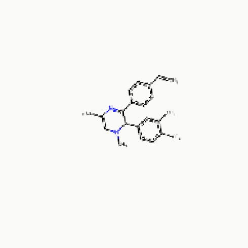 C=Cc1ccc(C2=NC(CCCC)=CN(C)C2c2ccc(C(F)(F)F)c(C)c2)cc1